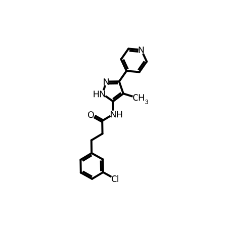 Cc1c(-c2ccncc2)n[nH]c1NC(=O)CCc1cccc(Cl)c1